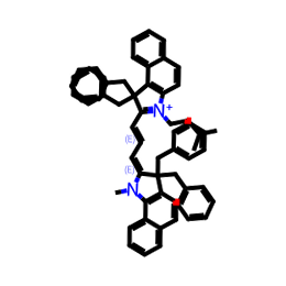 CC(C)CC[N+]1=C(/C=C/C=C2/N(C)c3c(ccc4ccccc34)C2(Cc2ccccc2)Cc2ccccc2)C(Cc2ccccc2)(Cc2ccccc2)c2c1ccc1ccccc21